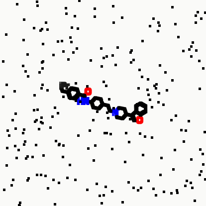 CC(C)Cc1ccc(C(=O)NC2CCC(CCN3CCC(c4coc5ccccc45)CC3)CC2)cc1